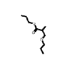 CCCOCC(C)C(=O)OCCC